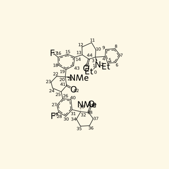 CCN(CC)[C@]1(c2ccccc2)CCCC(c2cc(F)cc([C@@]3(NC)CCCC(c4cc(F)cc([C@]5(NC)CCCCC5=O)c4)C3=O)c2)C1=O